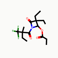 CCC(=O)OC1N(C(=O)C(C)(CC)C(F)(F)F)C(=O)C1(CC)CC